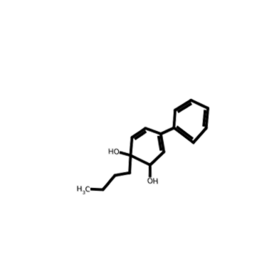 CCCCC1(O)C=CC(c2ccccc2)=CC1O